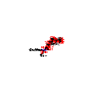 CCCCCCCCCCCCC/C=C/[C@@H](O)[C@H](CO[C@@H]1OC(CO)[C@@H](O[C@@H]2OC(CO)[C@H](O)[C@H](O[C@@H]3OC(CO)[C@@H](O)[C@H](O[C@@H]4OC(CO)[C@H](O)[C@H](O[C@@H]5OC(CO)[C@@H](O)[C@H](O[C@@H]6OC(CO)[C@H](O)[C@H](O)C6O)C5NC(C)=O)C4O)C3NC(C)=O)C2O)[C@H](O)C1O)NC(=O)CCCCCCCCCCCCCCCCC